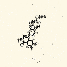 COC(=O)Nc1nc2cc(-c3n[nH]c(=O)c4cc(F)c(F)cc34)ccc2[nH]1